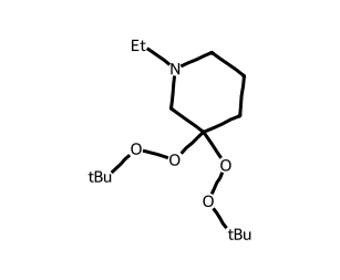 CCN1CCCC(OOC(C)(C)C)(OOC(C)(C)C)C1